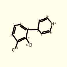 Clc1cccc(C2C=C[N]C=C2)c1Cl